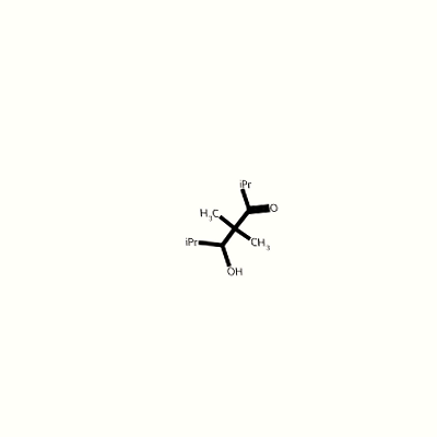 CC(C)C(=O)C(C)(C)C(O)C(C)C